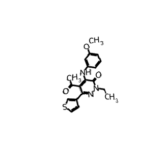 CCn1nc(-c2ccsc2)c(C(C)=O)c(Nc2cccc(OC)c2)c1=O